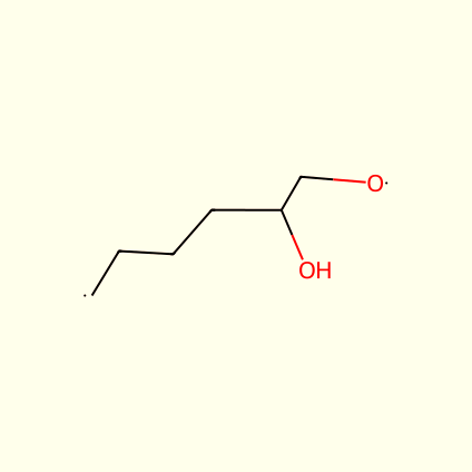 [CH2]CCCC(O)C[O]